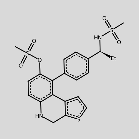 CC[C@H](NS(C)(=O)=O)c1ccc(-c2c(OS(C)(=O)=O)ccc3c2-c2ccsc2CN3)cc1